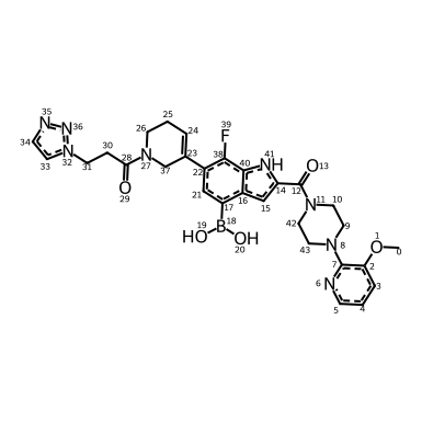 COc1cccnc1N1CCN(C(=O)c2cc3c(B(O)O)cc(C4=CCCN(C(=O)CCn5ccnn5)C4)c(F)c3[nH]2)CC1